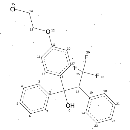 OC(c1ccccc1)(c1ccc(OCCCl)cc1)C(c1ccccc1)C(F)(F)F